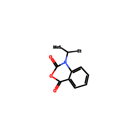 CCC(SC)n1c(=O)oc(=O)c2ccccc21